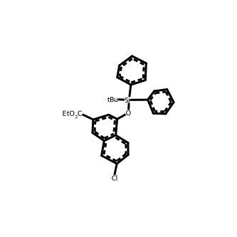 CCOC(=O)c1cc(O[Si](c2ccccc2)(c2ccccc2)C(C)(C)C)c2ccc(Cl)cc2c1